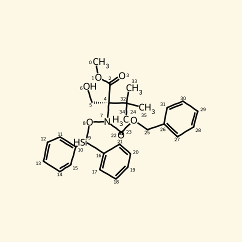 COC(=O)[C@](CO)(N(O[SiH](c1ccccc1)c1ccccc1)C(=O)OCc1ccccc1)C(C)(C)C